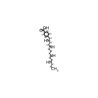 CCCNCCNCCCNCCNCc1ccc(C(=O)O)cc1